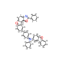 c1ccc(-c2nc3ccc4oc5ccc(-c6ccc(N(c7ccccc7)c7ccc8oc9ccccc9c8c7)cc6)cc5c4c3o2)cc1